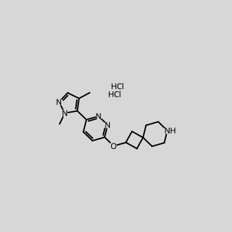 Cc1cnn(C)c1-c1ccc(OC2CC3(CCNCC3)C2)nn1.Cl.Cl